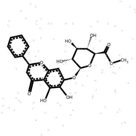 COC(=O)[C@H]1O[C@@H](Oc2cc3oc(-c4ccccc4)cc(=O)c3c(O)c2O)[C@H](O)[C@@H](O)[C@@H]1O